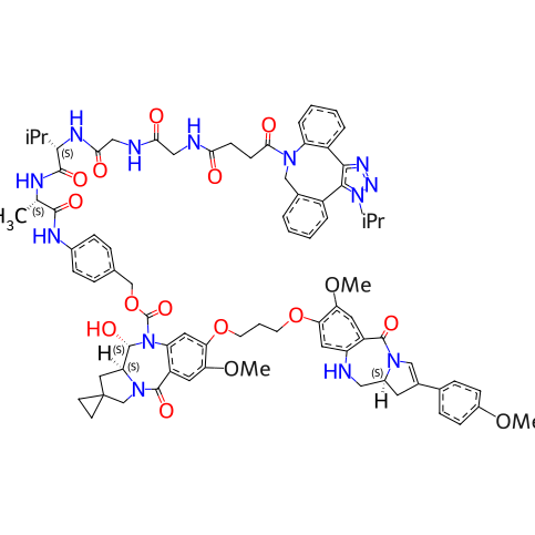 COc1ccc(C2=CN3C(=O)c4cc(OC)c(OCCCOc5cc6c(cc5OC)C(=O)N5CC7(CC7)C[C@H]5[C@H](O)N6C(=O)OCc5ccc(NC(=O)[C@H](C)NC(=O)[C@@H](NC(=O)CNC(=O)CNC(=O)CCC(=O)N6Cc7ccccc7-c7c(nnn7C(C)C)-c7ccccc76)C(C)C)cc5)cc4NC[C@@H]3C2)cc1